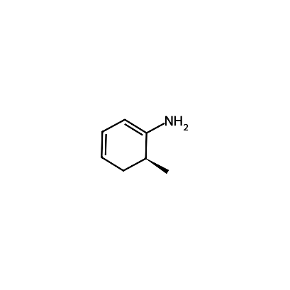 C[C@H]1CC=CC=C1N